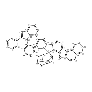 c1ccc(-c2nc3cccc(-c4ccc5c(c4)-c4ccc6c(oc7ccc8ccccc8c76)c4C54C5CC6CC(C5)CC4C6)c3n2-c2ccccc2)cc1